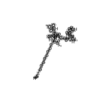 C=CCOC(=O)CCC(NC(=O)CCOCCOCCOCCOCCOCCOCCOCCOCCCCCN=[N+]=[N-])C(=O)N[C@@H](Cc1ccccc1)C(=O)N[C@@H](CCCCNC(c1ccccc1)(c1ccccc1)c1ccc(C)cc1)C(=O)Nc1ccc(COC(=O)N[C@H]2CCc3c(C)c(F)cc4nc5c(c2c34)Cn2c-5cc3c(c2=O)COC(=O)[C@]3(O)CC)cc1